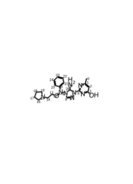 Cc1cc(O)nc(N2N=CN(N(OCCN3CCCC3)c3ccccc3)C2N)n1